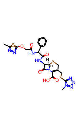 Cc1nnc(OCC(=O)NC(C(=O)NC2C(=O)N3C(C(=O)O)=C(CSc4nnnn4C)CS[C@H]23)c2ccccc2)s1